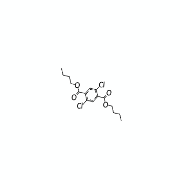 CCCCOC(=O)c1cc(Cl)c(C(=O)OCCCC)cc1Cl